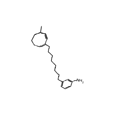 CC1/C=C\C(CCCCCCCCc2cccc(N)c2)=C/CCC1